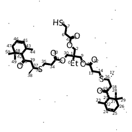 CCC(COC(=O)CCS)(COC(=O)CCS[C@H](C)CC(=O)C1C(C)C=CCC1(C)C)COC(=O)CCS[C@@H](C)CC(=O)C1C(C)C=CCC1(C)C